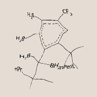 Bc1c(C(F)(F)F)cc(C(C)(C)CCCCC)c(C(B)(B)C(C)(C)CCC)c1B